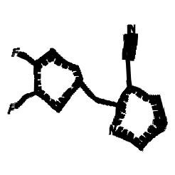 N#Cc1cccnc1-c1ccc(F)c(F)c1